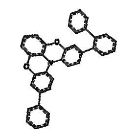 c1ccc(-c2ccc3c(c2)Oc2cccc4c2N3c2ccc(-c3ccccc3-c3ccccc3)cc2O4)cc1